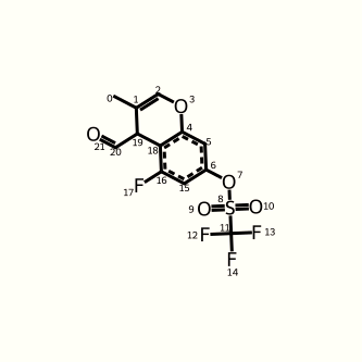 CC1=COc2cc(OS(=O)(=O)C(F)(F)F)cc(F)c2C1C=O